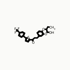 CCC(Oc1ccc(CCC(=O)c2ccc(-c3ccc(C(F)(F)F)cc3)s2)cc1)C(=O)O